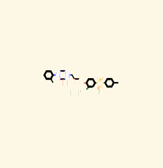 Cc1ccc(S(=O)(=O)c2ccc(OCC(O)CN3CCN(c4ccccc4C)CC3)c(Cl)c2Cl)cc1.Cl